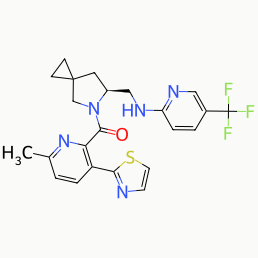 Cc1ccc(-c2nccs2)c(C(=O)N2CC3(CC3)C[C@H]2CNc2ccc(C(F)(F)F)cn2)n1